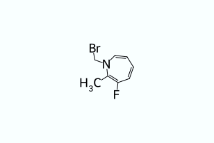 CC1=C(F)C=CC=CN1CBr